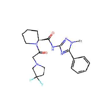 CCn1nc(NC(=O)[C@@H]2CCCCN2C(=O)CN2CCC(F)(F)C2)nc1-c1ccccc1